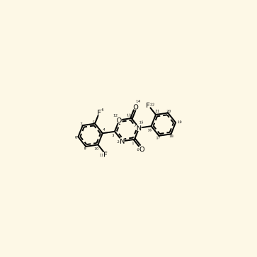 O=c1nc(-c2c(F)cccc2F)oc(=O)n1-c1ccccc1F